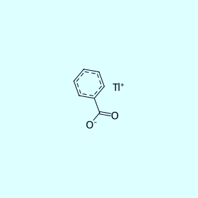 O=C([O-])c1ccccc1.[Tl+]